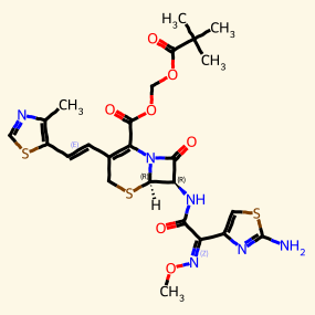 CO/N=C(\C(=O)N[C@@H]1C(=O)N2C(C(=O)OCOC(=O)C(C)(C)C)=C(/C=C/c3scnc3C)CS[C@H]12)c1csc(N)n1